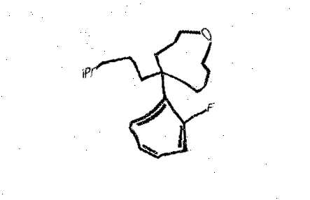 CC(C)CCC1(c2ccccc2F)CCOCC1